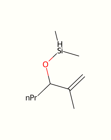 C=C(C)C(CCC)O[SiH](C)C